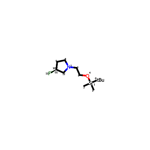 CC(C)(C)[Si](C)(C)OCCN1CC[C@H](F)C1